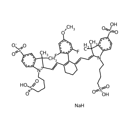 COc1cc(F)c(C2=C(C=CC3=[N+](CCCCS(=O)(=O)O)c4ccc(S(=O)(=O)[O-])cc4C3(C)C)CCCC2=CC=C2N(CCCCS(=O)(=O)O)c3ccc(S(=O)(=O)O)cc3C2(C)C)c(F)c1.[NaH]